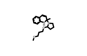 COCCCOC1CCCN1C1(C)C=Cc2ccccc2N1